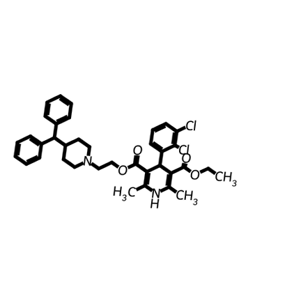 CCOC(=O)C1=C(C)NC(C)=C(C(=O)OCCN2CCC(C(c3ccccc3)c3ccccc3)CC2)C1c1cccc(Cl)c1Cl